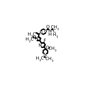 C=Nn1cc(-c2ncc(C3(OC)CCN(C(C)C)CC3)cc2F)cc1/C(=C\C)N1CCN(C(=O)NC(C)C)CC1